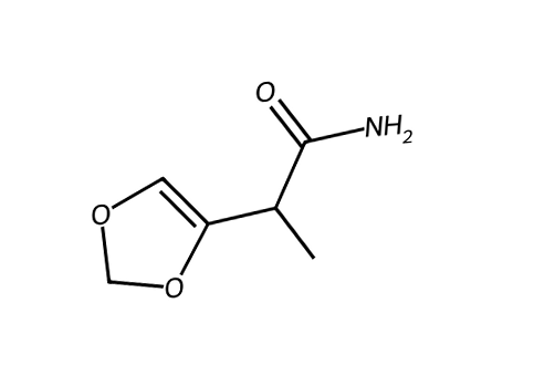 CC(C(N)=O)C1=COCO1